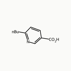 CCCCc1ccc(C(=O)O)cn1